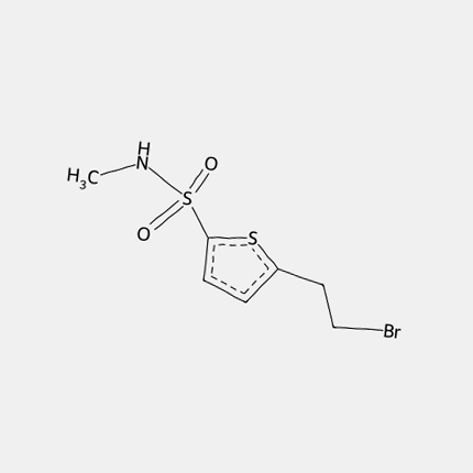 CNS(=O)(=O)c1ccc(CCBr)s1